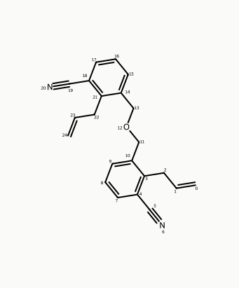 C=CCc1c(C#N)cccc1COCc1cccc(C#N)c1CC=C